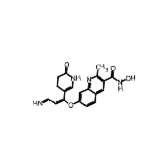 Cc1nc2cc(O/C(=C/C=N)C3=CNC(=O)CC3)ccc2cc1C(=O)NO